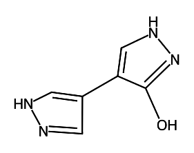 Oc1n[nH]cc1-c1cn[nH]c1